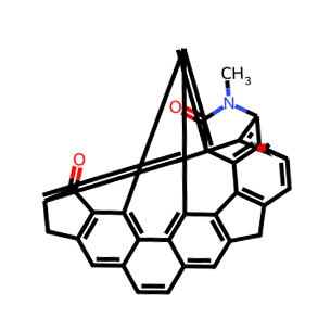 Cn1c(=O)c2c3c4c5cc6ccc(cc7c(=O)c8c(cc9ccc%10cc(c4c4c%10c9c8c24)C5)C7)c1c63